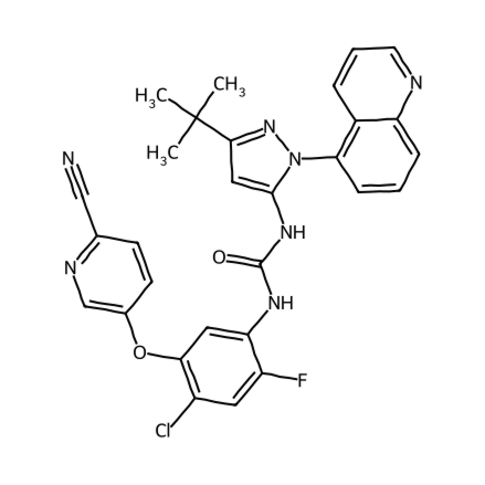 CC(C)(C)c1cc(NC(=O)Nc2cc(Oc3ccc(C#N)nc3)c(Cl)cc2F)n(-c2cccc3ncccc23)n1